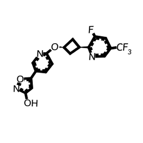 Oc1cc(-c2ccc(O[C@H]3C[C@H](c4ncc(C(F)(F)F)cc4F)C3)nc2)on1